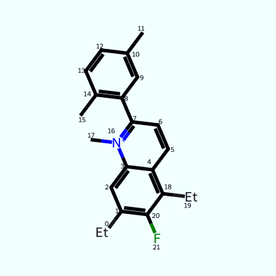 CCc1cc2c(ccc(-c3cc(C)ccc3C)[n+]2C)c(CC)c1F